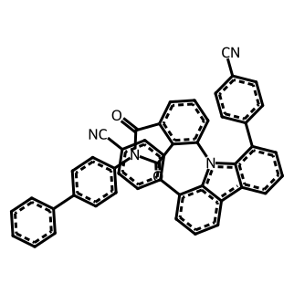 N#Cc1ccc(-c2cccc3c4cccc(-c5ccc(C#N)cc5)c4n(-c4cccc5c4C(=O)N(c4ccc(-c6ccccc6)cc4)C5=O)c23)cc1